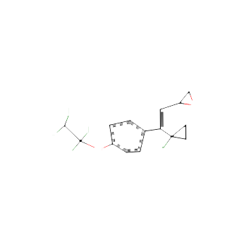 FC(F)C(F)(F)Oc1ccc(/C(=C/C2CO2)C2(Cl)CC2)cc1